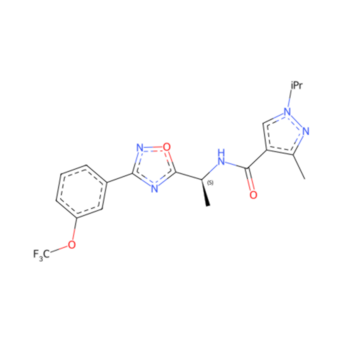 Cc1nn(C(C)C)cc1C(=O)N[C@@H](C)c1nc(-c2cccc(OC(F)(F)F)c2)no1